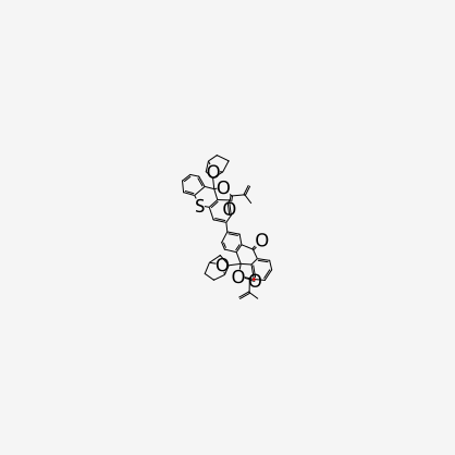 C=C(C)C(=O)OC1(C2CC3CCC2O3)c2ccccc2Sc2cc(-c3ccc4c(c3)C(=O)c3ccccc3C4(OC(=O)C(=C)C)C3CC4CCC3O4)ccc21